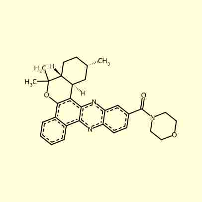 C[C@H]1CC[C@@H]2[C@@H](C1)c1c(c3ccccc3c3nc4ccc(C(=O)N5CCOCC5)cc4nc13)OC2(C)C